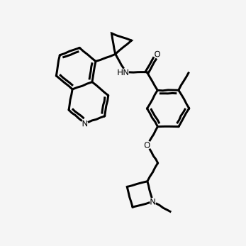 Cc1ccc(OCC2CCN2C)cc1C(=O)NC1(c2cccc3cnccc23)CC1